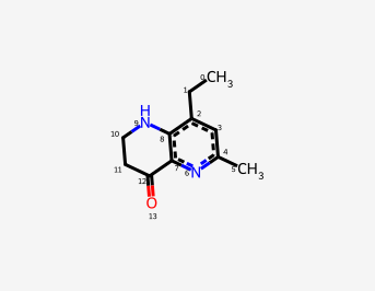 CCc1cc(C)nc2c1NCCC2=O